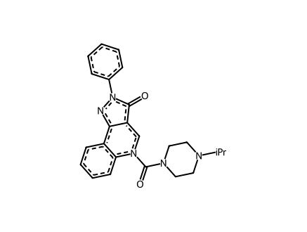 CC(C)N1CCN(C(=O)n2cc3c(=O)n(-c4ccccc4)nc-3c3ccccc32)CC1